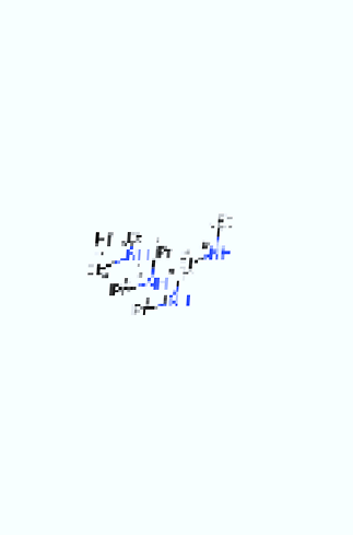 CC(C)NC(C)C.CC(C)NC(C)C.CCNCC.CCNCC.[Hf]